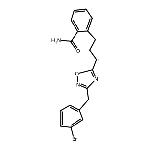 NC(=O)c1ccccc1CC[CH]c1nc(Cc2cccc(Br)c2)no1